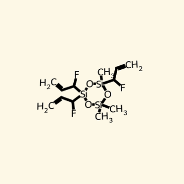 C=CC(F)[Si]1(C)O[Si](C)(C)O[Si](C(F)C=C)(C(F)C=C)O1